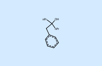 CCCC(O)(CCC)Cc1ccccc1